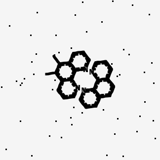 Cc1c(C)c2cccnc2c2ncccc12.c1cnc2c(c1)ccc1cccnc12